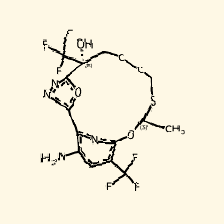 C[C@H]1Oc2nc(c(N)cc2C(F)(F)F)-c2nnc(o2)[C@@](O)(C(F)(F)F)CCCCS1